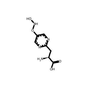 N[C@@H](Cc1ncc(OBO)cn1)C(=O)O